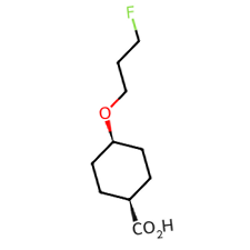 O=C(O)[C@H]1CC[C@@H](OCCCF)CC1